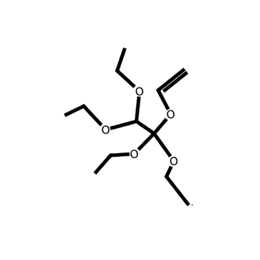 [CH2]COC(OC=C)(OCC)C(OCC)OCC